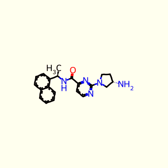 C[C@@H](NC(=O)c1ccnc(N2CC[C@H](N)C2)n1)c1cccc2ccccc12